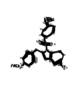 CC(C)(C)c1ccc(S(=O)(=O)n2c(Cc3ccc(C(=O)O)cc3)cc3cc(C(F)(F)F)ccc32)cc1